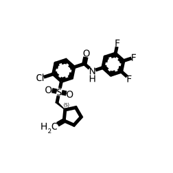 C=C1CCC[C@@H]1CS(=O)(=O)c1cc(C(=O)Nc2cc(F)c(F)c(F)c2)ccc1Cl